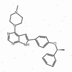 C[C@H](Oc1ccc(-c2cc3c(N4CCN(C)CC4)ncnc3[nH]2)cc1)c1ccccc1